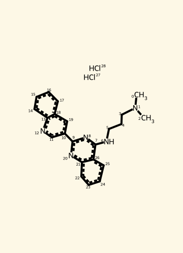 CN(C)CCCNc1nc(-c2cnc3ccccc3c2)nc2ccccc12.Cl.Cl